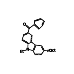 CCCCCCCCc1ccc2c(c1)c1cc(C(=O)c3ccccc3)ccc1n2CC